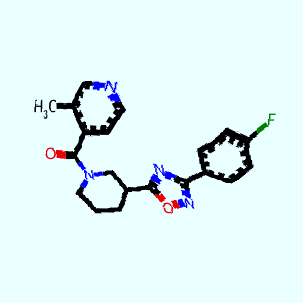 Cc1cnccc1C(=O)N1CCCC(c2nc(-c3ccc(F)cc3)no2)C1